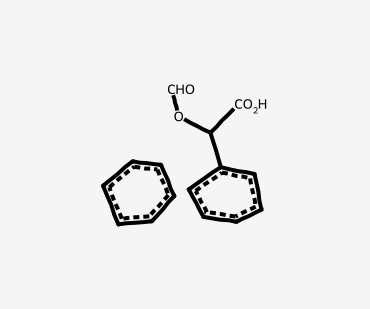 O=COC(C(=O)O)c1ccccc1.c1ccccc1